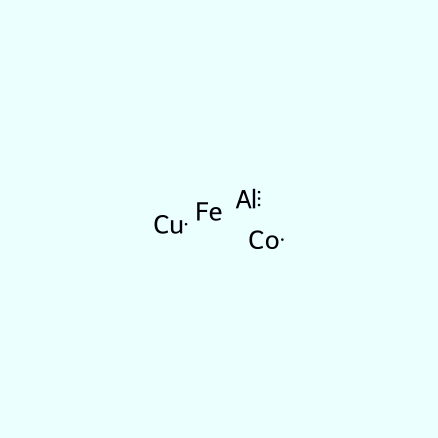 [Al].[Co].[Cu].[Fe]